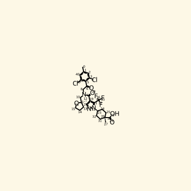 Cc1cc(Cl)c(C(=O)CN(C[C@@]2(C)CCCO2)C(=O)c2cnn([C@H]3CC[C@](C)(C(=O)O)CC3)c2C(F)(F)F)c(Cl)c1